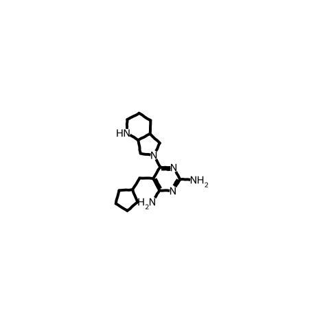 Nc1nc(N)c(CC2CCCC2)c(N2CC3CCCNC3C2)n1